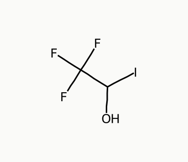 OC(I)C(F)(F)F